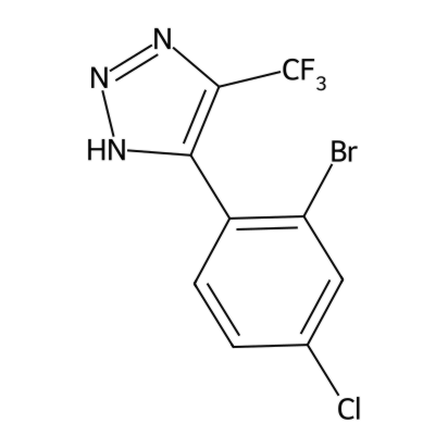 FC(F)(F)c1nn[nH]c1-c1ccc(Cl)cc1Br